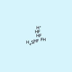 F.F.F.F.[H+].[SiH4]